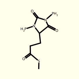 CSC(=O)CCC1C(=O)N(P)C(=O)N1P